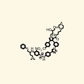 CN(C)CCC(CSc1ccccc1)Nc1ccc(S(=O)(=O)Nc2ccc(-c3cn(-c4cccc(-c5c(-c6ccc(Cl)cc6)cn(CCC(O)CO)c5C(=O)NCCCN5CCN(C)CC5)c4)nn3)cc2)cc1[N+](=O)[O-]